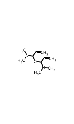 C=CC(OC(C=C)N(C)C)N(C)C